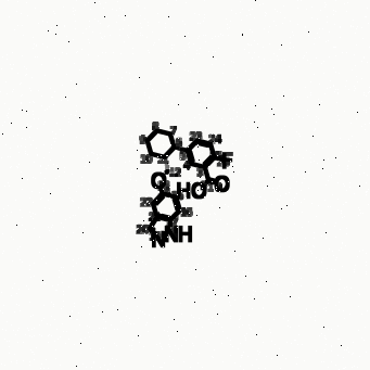 O=C(O)c1cc([C@@H]2CCCC[C@H]2COc2ccc3[nH]ncc3c2)ccc1F